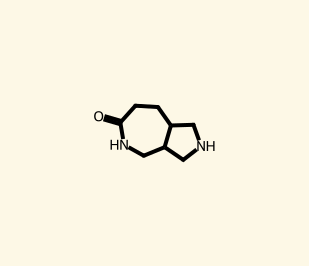 O=C1CCC2CNCC2CN1